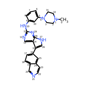 CN1CCN(c2cccc(Nc3ncc4c(-c5ccc6cnccc6c5)c[nH]c4n3)c2)CC1